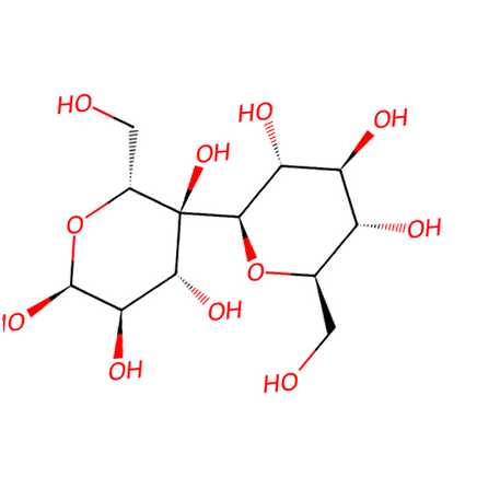 OC[C@H]1O[C@@H]([C@]2(O)[C@H](O)[C@@H](O)[C@@H](O)O[C@@H]2CO)[C@H](O)[C@@H](O)[C@@H]1O